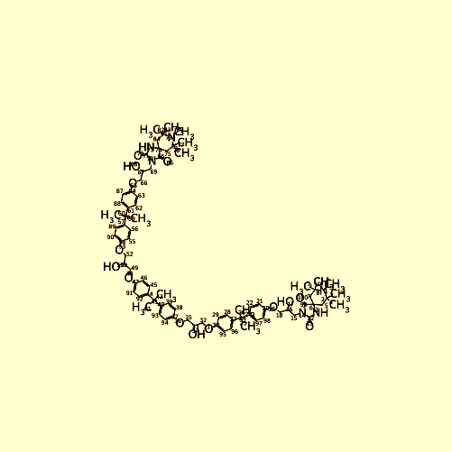 CN1C(C)(C)CC2(CC1(C)C)NC(=O)N(CC(O)COc1ccc(C(C)(C)c3ccc(OCC(O)COc4ccc(C(C)(C)c5ccc(OCC(O)COc6ccc(C(C)(C)c7ccc(OCC(O)CN8C(=O)NC9(CC(C)(C)N(C)C(C)(C)C9)C8=O)cc7)cc6)cc5)cc4)cc3)cc1)C2=O